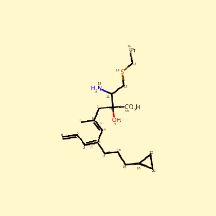 C=C/C=C(\C=C(/C)CC(O)(C(=O)O)C(N)CSCC(C)C)CCCC1CC1